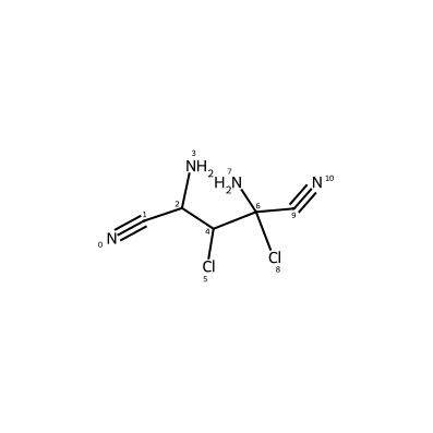 N#CC(N)C(Cl)C(N)(Cl)C#N